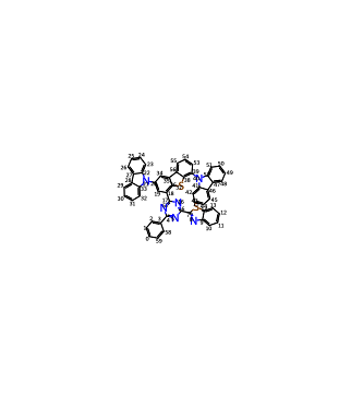 c1ccc(-c2nc(-c3nc4ccccc4s3)nc(-c3cc(-n4c5ccccc5c5ccccc54)cc4c3sc3c(-n5c6ccccc6c6ccccc65)cccc34)n2)cc1